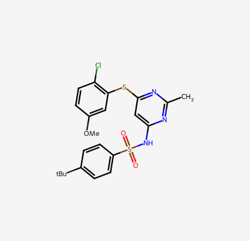 COc1ccc(Cl)c(Sc2cc(NS(=O)(=O)c3ccc(C(C)(C)C)cc3)nc(C)n2)c1